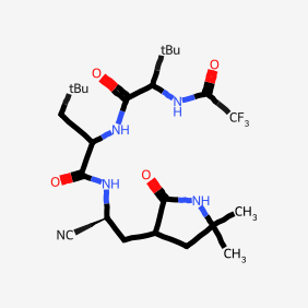 CC(C)(C)CC(NC(=O)C(NC(=O)C(F)(F)F)C(C)(C)C)C(=O)N[C@H](C#N)CC1CC(C)(C)NC1=O